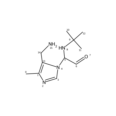 Cc1ncn(C(C=O)NC(C)(C)C)c1CN